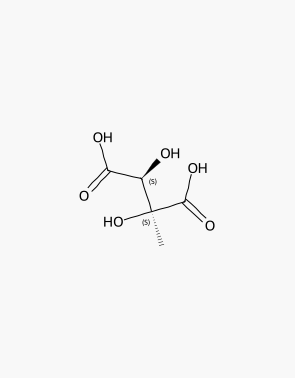 C[C@@](O)(C(=O)O)[C@H](O)C(=O)O